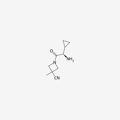 CC1(C#N)CN(C(=O)[C@H](N)C2CC2)C1